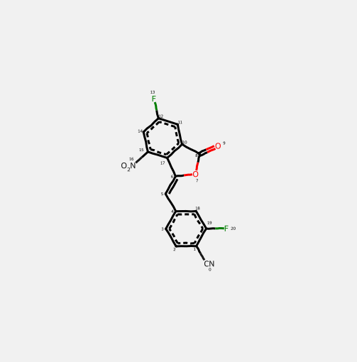 N#Cc1ccc(C=C2OC(=O)c3cc(F)cc([N+](=O)[O-])c32)cc1F